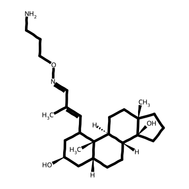 CC(/C=N/OCCCN)=C\C1C[C@H](O)C[C@H]2CC[C@@H]3[C@H](CC[C@]4(C)CCC[C@]34O)[C@@]12C